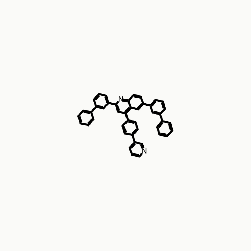 c1ccc(-c2cccc(-c3ccc4nc(-c5cccc(-c6ccccc6)c5)cc(-c5ccc(-c6cccnc6)cc5)c4c3)c2)cc1